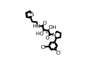 O=C(NCCc1cccs1)[C@H](O)[C@@H](O)C(=O)N1CCCC1c1cc(Cl)cc(Cl)c1